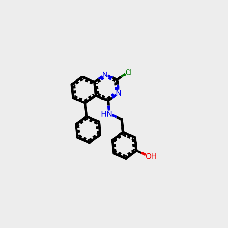 Oc1cccc(CNc2nc(Cl)nc3cccc(-c4ccccc4)c23)c1